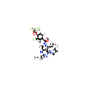 Cc1nc2c(c(N3CCC3)n1)[C@@H](C)N(C(=O)c1ccc(OC(F)F)c(F)c1)C2